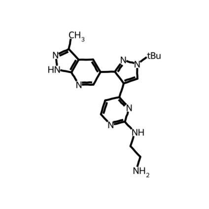 Cc1n[nH]c2ncc(-c3nn(C(C)(C)C)cc3-c3ccnc(NCCN)n3)cc12